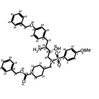 COc1ccc(S(=O)(=O)N(CC2CCN(C(=O)OCc3ccccc3)CC2)C[C@@H](O)[C@@H](N)Cc2ccc(OCc3ccccc3)cc2)cc1